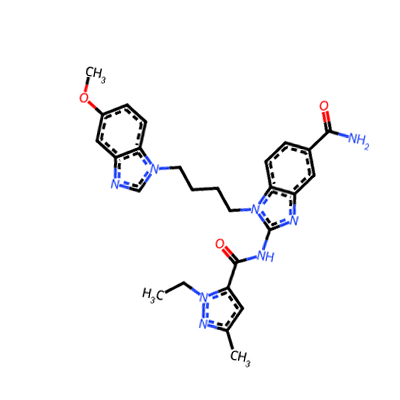 CCn1nc(C)cc1C(=O)Nc1nc2cc(C(N)=O)ccc2n1CCCCn1cnc2cc(OC)ccc21